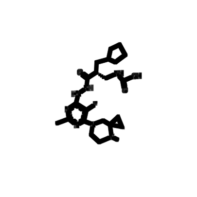 Cc1nc(NNC(=O)[C@@H](CNC(=O)O)CC2CCCC2)c(F)c(N2CCN(C)C3(CC3)C2)n1